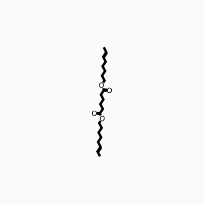 CC=CCCCCCOC(=O)CCCCC(=O)OCCCCCC=CC